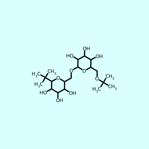 CC(C)(C)OCC1OC(OCC2OC(C(C)(C)C)C(O)C(O)C2O)C(O)C(O)C1O